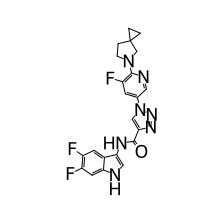 O=C(Nc1c[nH]c2cc(F)c(F)cc12)c1cn(-c2cnc(N3CCC4(CC4)C3)c(F)c2)nn1